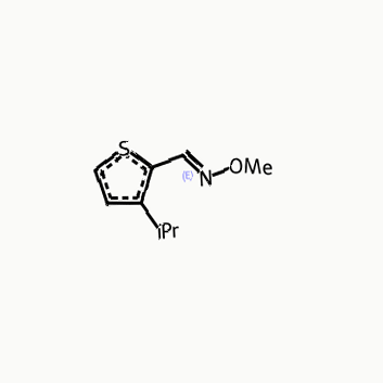 CO/N=C/c1sccc1C(C)C